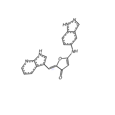 O=C1C=C(Nc2ccc3[nH]ncc3c2)O/C1=C\c1c[nH]c2ncccc12